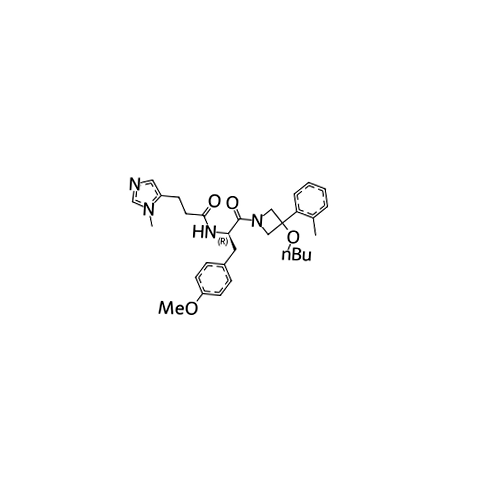 CCCCOC1(c2ccccc2C)CN(C(=O)[C@@H](Cc2ccc(OC)cc2)NC(=O)CCc2cncn2C)C1